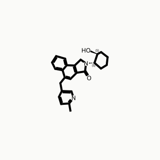 Cc1ccc(Cc2cc3c(c4ccccc24)CN([C@H]2CCCC[C@@H]2O)C3=O)cn1